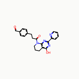 O=Cc1ccc(CCC(=O)N2CCCc3c(O)nc(-c4ccccn4)nc32)cc1